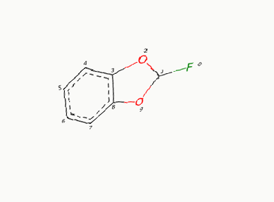 F[C]1Oc2ccccc2O1